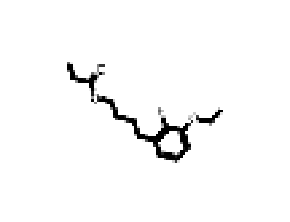 CCOc1cccc(CCCCOC(=O)CC)c1F